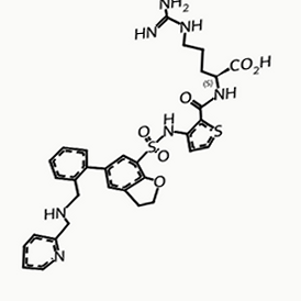 N=C(N)NCCC[C@H](NC(=O)c1sccc1NS(=O)(=O)c1cc(-c2ccccc2CNCc2ccccn2)cc2c1OCC2)C(=O)O